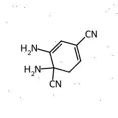 N#CC1=CCC(N)(C#N)C(N)=C1